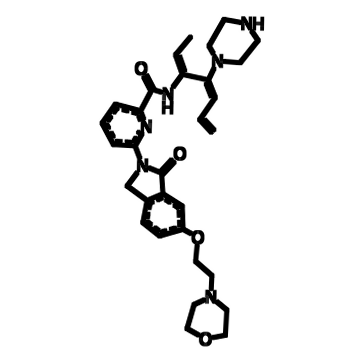 C=C/C=C(\C(=C/C)NC(=O)c1cccc(N2Cc3ccc(OCCN4CCOCC4)cc3C2=O)n1)N1CCNCC1